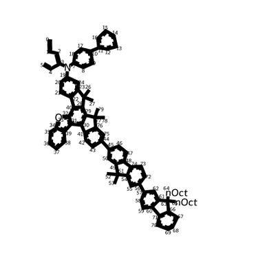 C=C/C=C(\C=C)N(c1ccc(-c2ccccc2)cc1)c1ccc2c(c1)C(C)(C)c1c3c(c4c(oc5ccccc54)c1-2)-c1ccc(-c2ccc4c(c2)C(C)(C)c2cc(-c5ccc6c(c5)C(CCCCCCCC)(CCCCCCCC)c5ccccc5-6)ccc2-4)cc1C3(C)C